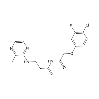 C=C(CCNc1nccnc1C)NC(=O)COc1ccc(Cl)c(F)c1